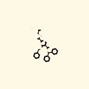 COC(=O)CNC(=O)c1ncc(C(=O)NC(c2ccccc2)c2ccccc2)c(OCc2ccccc2)n1